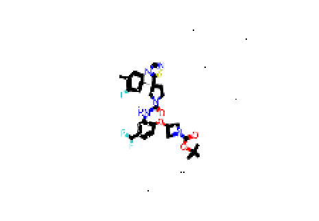 Cc1ccc([C@]2(c3ncns3)CCN(C(=O)Nc3cc(C(F)F)ccc3OC3CN(C(=O)OC(C)(C)C)C3)C2)cc1F